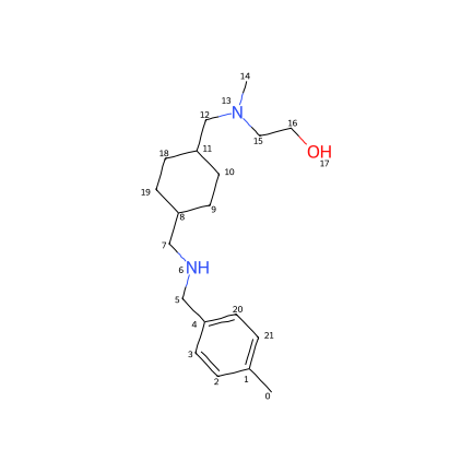 Cc1ccc(CNCC2CCC(CN(C)CCO)CC2)cc1